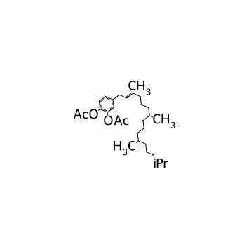 CC(=O)Oc1ccc(C/C=C(\C)CCCC(C)CCCC(C)CCCC(C)C)cc1OC(C)=O